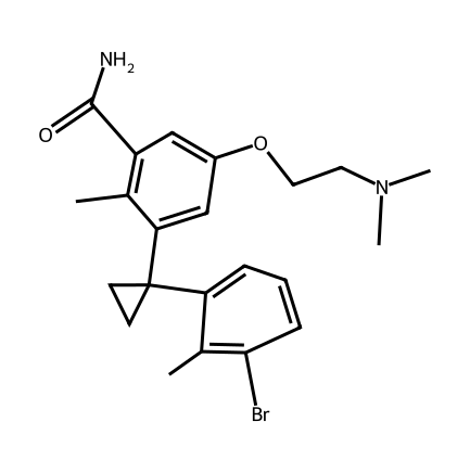 Cc1c(Br)cccc1C1(c2cc(OCCN(C)C)cc(C(N)=O)c2C)CC1